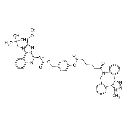 CCOCc1nc2c(NC(=O)OCc3ccc(OC(=O)CCCCC(=O)N4Cc5ccccc5-c5c(nnn5C)-c5ccccc54)cc3)nc3ccccc3c2n1CC(C)(C)O